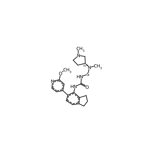 COc1cc(-c2ccc3c(c2NC(=O)NSN(C)[C@H]2CCN(C)C2)CCC3)ccn1